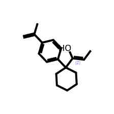 C=C(C)c1ccc(C2(/C(O)=C/C)CCCCC2)cc1